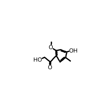 COc1cc(O)c(C)cc1C(=O)CO